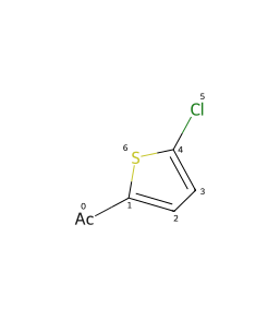 [CH2]C(=O)c1ccc(Cl)s1